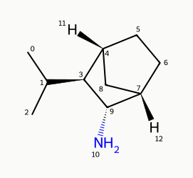 CC(C)[C@H]1[C@@H]2CC[C@@H](C2)[C@@H]1N